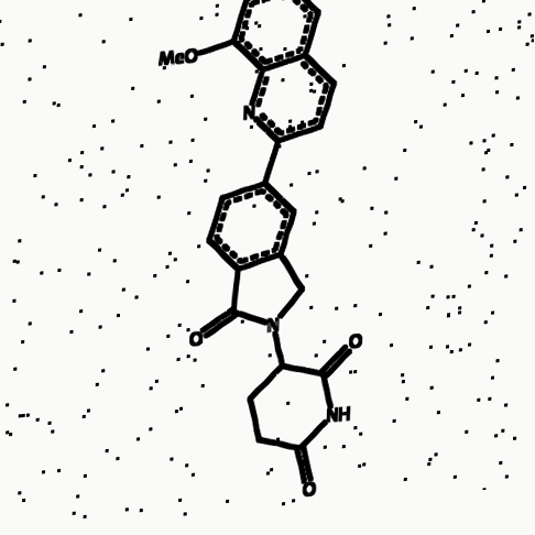 COc1cccc2ccc(-c3ccc4c(c3)CN(C3CCC(=O)NC3=O)C4=O)nc12